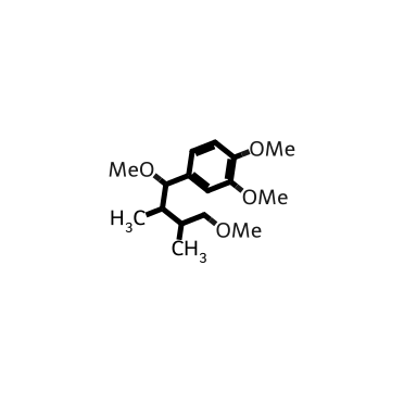 COCC(C)C(C)C(OC)c1ccc(OC)c(OC)c1